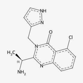 C[C@H](N)c1nc2cccc(Cl)c2c(=O)n1Cc1cc[nH]n1